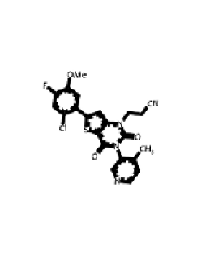 COc1cc(-c2cc3c(s2)c(=O)n(-c2cnccc2C)c(=O)n3CCC#N)c(Cl)cc1F